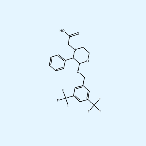 O=C(O)CN1CCOC(OCc2cc(C(F)(F)F)cc(C(F)(F)F)c2)C1c1ccccc1